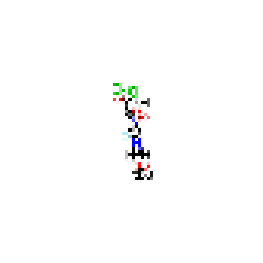 CC(C)(C)OC(=O)C1[C@H]2CN(c3ccc(N4C[C@@H](C[AsH]C(=O)C(Cl)Cl)OC4=O)cc3F)C[C@@H]12